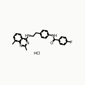 Cc1nc(NCCc2ccc(NC(=O)c3ccc(F)cc3)cc2)c2cccc(C)c2n1.Cl